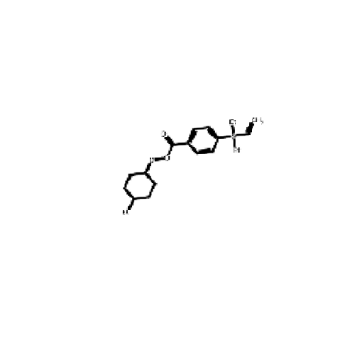 C=C[Si](CC)(CC)c1ccc(C(=O)OO[C]2CCC(CC)CC2)cc1